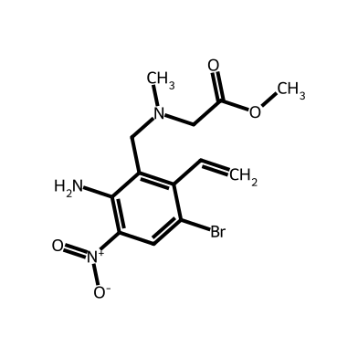 C=Cc1c(Br)cc([N+](=O)[O-])c(N)c1CN(C)CC(=O)OC